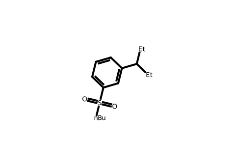 CCCCS(=O)(=O)c1cccc(C(CC)CC)c1